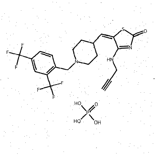 C#CCNC1=NC(=O)SC1=CC1CCN(Cc2ccc(C(F)(F)F)cc2C(F)(F)F)CC1.O=P(O)(O)O